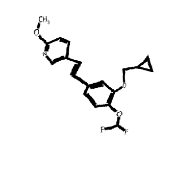 COc1ccc(C=Cc2ccc(OC(F)F)c(OCC3CC3)c2)cn1